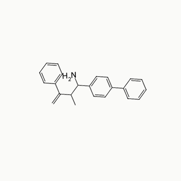 C=C(c1ccccc1)C(C)C(N)c1ccc(-c2ccccc2)cc1